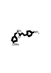 COc1ccc(CN(C)C(=O)CCc2ccc(N)cc2)cc1